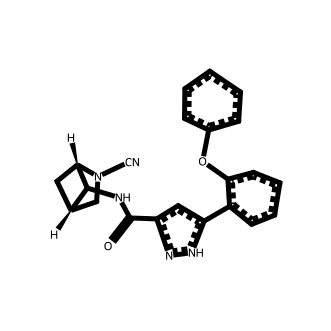 N#CN1C[C@@H]2C[C@H]1C2NC(=O)c1cc(-c2ccccc2Oc2ccccc2)[nH]n1